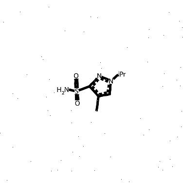 Cc1cn(C(C)C)nc1S(N)(=O)=O